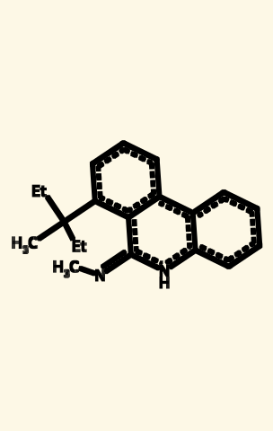 CCC(C)(CC)c1cccc2c1/c(=N\C)[nH]c1ccccc12